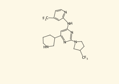 FC(F)(F)c1ccnc(Nc2cc(C3CCCNC3)nc(N3CCC(C(F)(F)F)C3)n2)c1